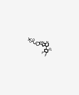 COc1cc(F)c(F)cc1-c1ccnc2[nH]c(C3=CCN(CC(=O)OC(C)(C)C)CC3)cc12